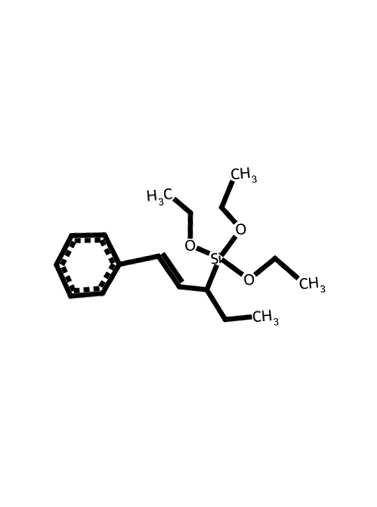 CCO[Si](OCC)(OCC)C(C=Cc1ccccc1)CC